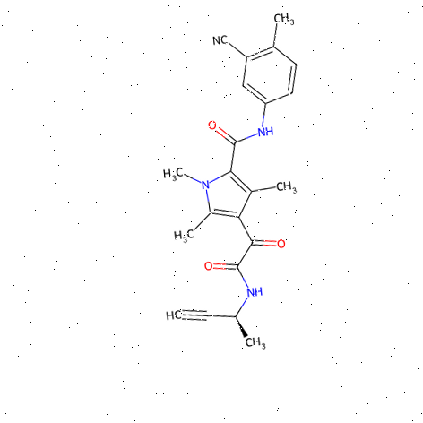 C#C[C@H](C)NC(=O)C(=O)c1c(C)c(C(=O)Nc2ccc(C)c(C#N)c2)n(C)c1C